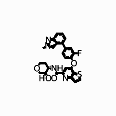 Cn1cc2c(-c3ccc(Oc4cc(C(=O)N[C@H]5CCOC[C@@H]5O)nc5ccsc45)c(F)c3)cccc2n1